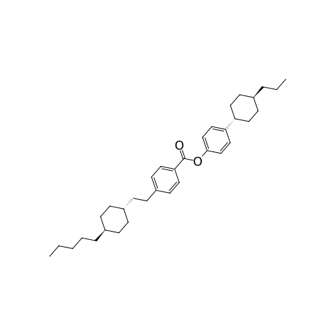 CCCCC[C@H]1CC[C@H](CCc2ccc(C(=O)Oc3ccc([C@H]4CC[C@H](CCC)CC4)cc3)cc2)CC1